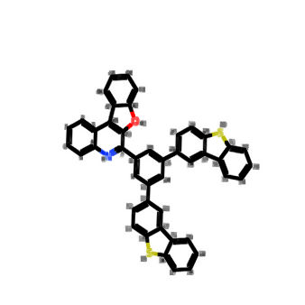 c1ccc2c(c1)nc(-c1cc(-c3ccc4sc5ccccc5c4c3)cc(-c3ccc4sc5ccccc5c4c3)c1)c1oc3ccccc3c12